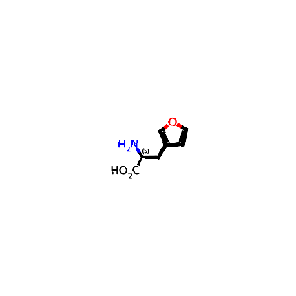 N[C@@H](Cc1ccoc1)C(=O)O